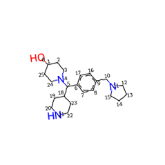 OC1CCN(C(c2ccc(CN3CCCC3)cc2)C2CCNCC2)CC1